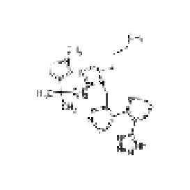 CCCCc1cn(-c2c(C(C)(C)C)ccn2C)c(=O)n1Cc1cnccc1-c1ccccc1-c1nnn[nH]1